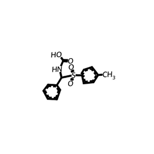 Cc1ccc(S(=O)(=O)C(NC(=O)O)c2ccccc2)cc1